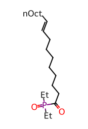 CCCCCCCCC=CCCCCCCCC(=O)P(=O)(CC)CC